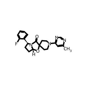 Cc1cc(N2CCC3(CC2)O[C@@H]2CC[C@@H](c4ccccc4F)N2C3=O)ncn1